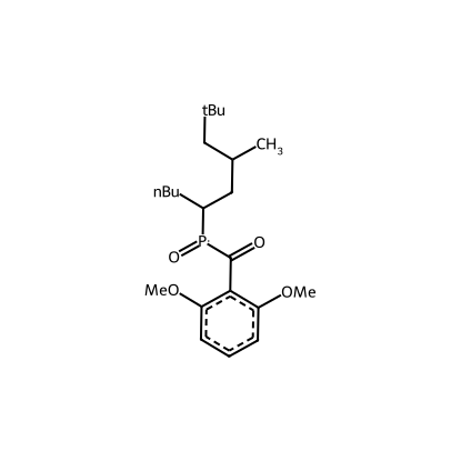 CCCCC(CC(C)CC(C)(C)C)[P](=O)C(=O)c1c(OC)cccc1OC